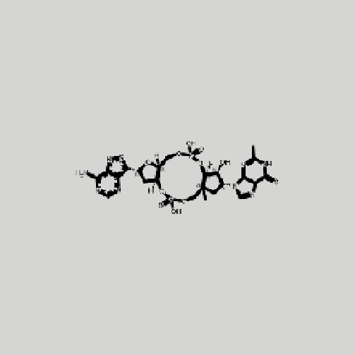 CC1=NC2C(N=CN2[C@@H]2C[C@]3(C)COP(=O)(O)O[C@H]4C[C@H](c5snc6c(N)ncnc56)O[C@@H]4COP(=O)(O)O[C@H]3[C@H]2O)C(=O)N1